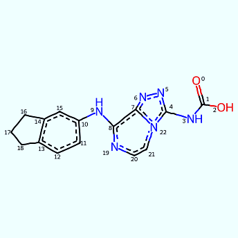 O=C(O)Nc1nnc2c(Nc3ccc4c(c3)CCC4)nccn12